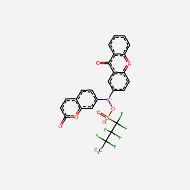 O=c1ccc2ccc([I+](OS(=O)(=O)C(F)(F)C(F)(F)C(F)(F)C(F)(F)F)c3ccc4oc5ccccc5c(=O)c4c3)cc2o1